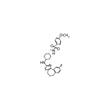 COc1ccc(S(=O)(=O)NC[C@H]2CC[C@H](Nc3nc4c(s3)CCCc3ccc(F)cc3-4)CC2)cc1